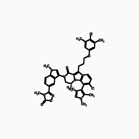 Cc1cc(OCCCc2c3n(c4c(-c5c(C)nn(C)c5C)c(Cl)ccc24)[C@H](C)CN(c2cn(C)c4ccc(-c5noc(=O)n5C)cc24)C3=O)cc(C)c1Cl